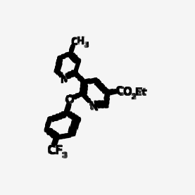 CCOC(=O)c1cnc(Oc2ccc(C(F)(F)F)cc2)c(-c2cc(C)ccn2)c1